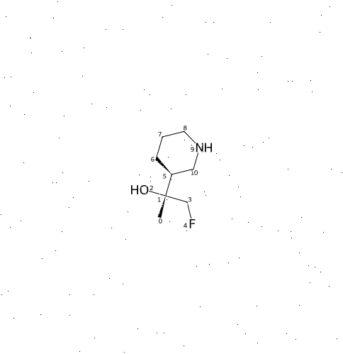 C[C@](O)(CF)[C@H]1CCCNC1